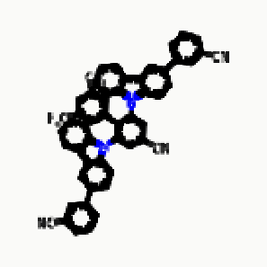 N#Cc1cccc(-c2ccc3c(c2)c2ccccc2n3-c2cc(C#N)cc(-n3c4ccccc4c4cc(-c5cccc(C#N)c5)ccc43)c2-c2cc(C(F)(F)F)cc(C(F)(F)F)c2)c1